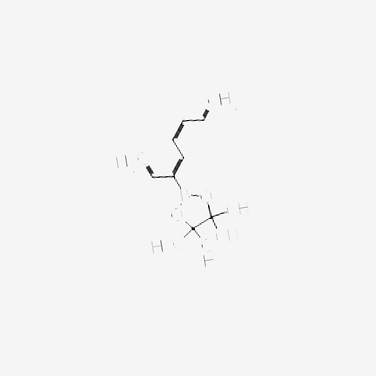 C=C/C=C\C=C(/C=C)B1OC(C)(C)C(C)(C)O1